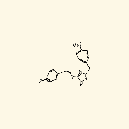 COc1ccc(Cc2n[nH]c(SCc3ccc(F)cc3)n2)cc1